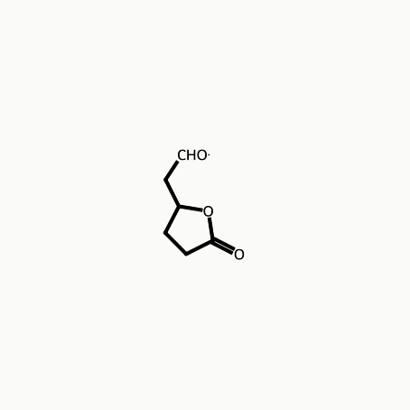 O=[C]CC1CCC(=O)O1